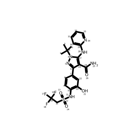 CC(C)(C)n1nc(-c2ccc(NS(=O)(=O)CC(F)(F)F)c(O)c2)c(C(N)=O)c1Nc1ccccn1